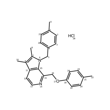 Cc1ccc(Cn2c(C)c(C)c3ccnc(COc4ccc(C)cc4)c32)cc1.Cl